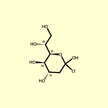 OC[C@@H](O)[C@H]1OC(O)(Cl)C[C@H](O)[C@H]1O